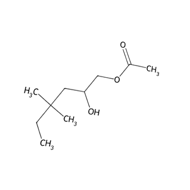 CCC(C)(C)CC(O)COC(C)=O